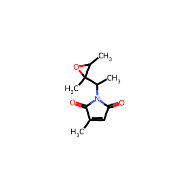 CC1=CC(=O)N(C(C)C2(C)OC2C)C1=O